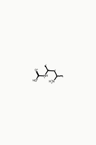 CC(N)CC(C)NC(=O)O